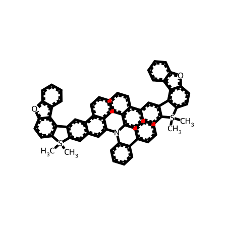 CS1(C)c2cc3cc(N(c4ccccc4-c4ccccc4)c4cc5cc6c(cc5c5ccccc45)-c4c(ccc5oc7ccccc7c45)S6(C)C)c4ccccc4c3cc2-c2c1ccc1oc3ccccc3c21